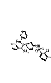 NC1c2ccoc2N=C(c2cccnc2)N1c1ccc(NS(=O)(=O)c2cccc(Cl)c2Cl)cc1